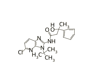 CC(O)(CC(=O)Nc1nc2ccc(Cl)nc2n1C(C)(C)C)c1ccccc1